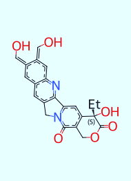 CC[C@@]1(O)C(=O)OCc2c1cc1n(c2=O)Cc2cc3cc(=CO)c(=CO)cc3nc2-1